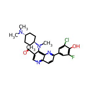 CC(=O)c1cnc2ccc(-c3cc(F)c(O)c(Cl)c3)nc2c1N(C)[C@H]1CC[C@H](N(C)C)CC1